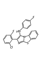 Fc1ccc(Nc2c(-c3c(F)cccc3Cl)nc3sc4ccccc4n23)cc1